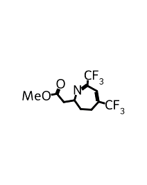 COC(=O)CC1CCC(C(F)(F)F)=CC(C(F)(F)F)=N1